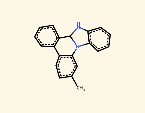 Cc1ccc2c(c1)N1c3ccccc3NC1c1ccccc1-2